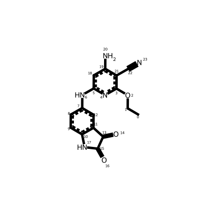 CCOc1nc(Nc2ccc3c(c2)C(=O)C(=O)N3)cc(N)c1C#N